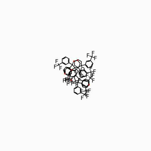 FC(F)(F)c1cccc(C2(OB(OC3(c4cccc(C(F)(F)F)c4)CCCCC3(c3cccc(C(F)(F)F)c3)c3cccc(C(F)(F)F)c3)OC3(c4cccc(C(F)(F)F)c4)CCCCC3(c3cccc(C(F)(F)F)c3)c3cccc(C(F)(F)F)c3)CCCCC2(c2cccc(C(F)(F)F)c2)c2cccc(C(F)(F)F)c2)c1